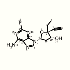 C#C[C@]1(CC)O[C@@H](n2cnc3c(N)nc(F)nc32)C[C@H]1O